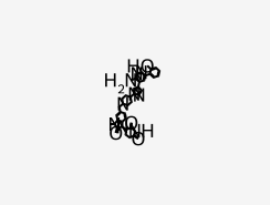 Cn1c(=O)n(C2CCC(=O)NC2=O)c2ccc(CN3CCC(n4cc(-c5cc(-c6ccccc6O)nnc5N)cn4)CC3)cc21